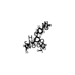 CCN1CCC(Oc2cc(Oc3ccc(-c4nnc(C)o4)cc3)cc(C(=O)Nc3nc(C)cs3)c2)C1=O